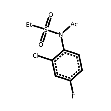 CCS(=O)(=O)N(C(C)=O)c1c[c]c(F)cc1Cl